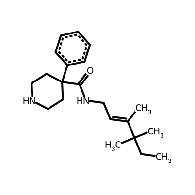 CCC(C)(C)/C(C)=C/CNC(=O)C1(c2ccccc2)CCNCC1